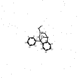 CCN1CC2OC(c3ccccc3)(C1)c1ccccc12